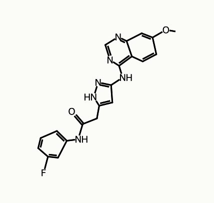 COc1ccc2c(Nc3cc(CC(=O)Nc4cccc(F)c4)[nH]n3)ncnc2c1